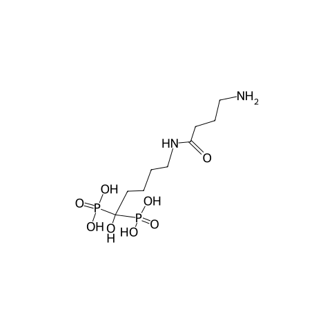 NCCCC(=O)NCCCCC(O)(P(=O)(O)O)P(=O)(O)O